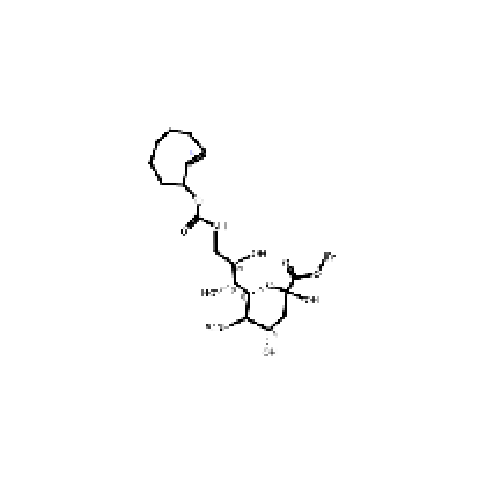 CC(=O)NC1[C@H]([C@H](O)[C@H](O)CNC(=O)OC2/C=C/CCCCC2)OC(O)(C(=O)OC(C)C)C[C@@H]1O